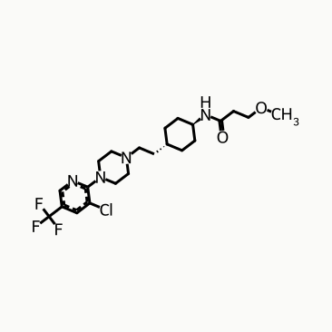 COCCC(=O)N[C@H]1CC[C@H](CCN2CCN(c3ncc(C(F)(F)F)cc3Cl)CC2)CC1